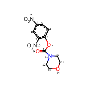 O=C(Oc1ccc([N+](=O)[O-])cc1[N+](=O)[O-])N1CCOCC1